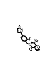 Cn1ccc(-c2ccc(Cn3cc(Br)c4occc4c3=O)c(F)c2)n1